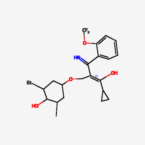 CCC1CC(OC/C(C(=N)c2ccccc2OC(F)(F)F)=C(/O)C2CC2)CC(C)C1O